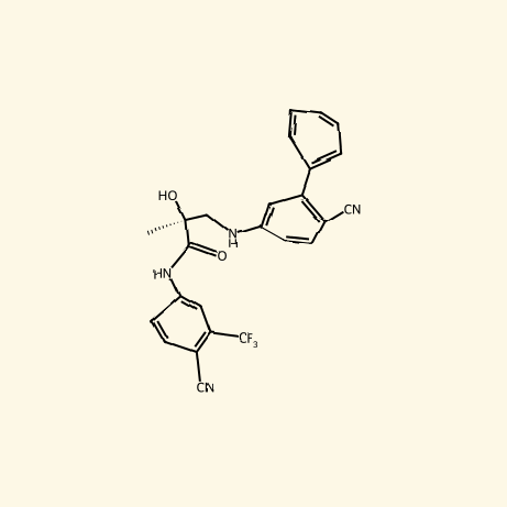 C[C@](O)(CNc1ccc(C#N)c(-c2ccccc2)c1)C(=O)Nc1ccc(C#N)c(C(F)(F)F)c1